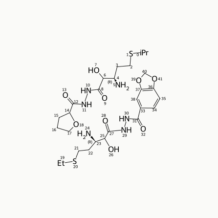 CC(C)SCC[C@@H](N)C(O)C(=O)NNC(=O)C1CCCO1.CCSCC[C@@H](N)C(O)C(=O)NNC(=O)c1ccc2c(c1)OCO2